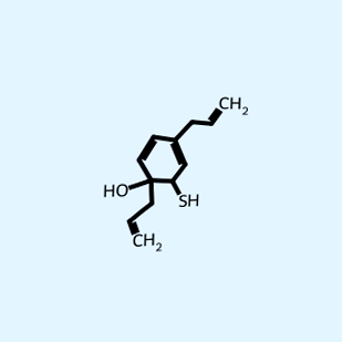 C=CCC1=CC(S)C(O)(CC=C)C=C1